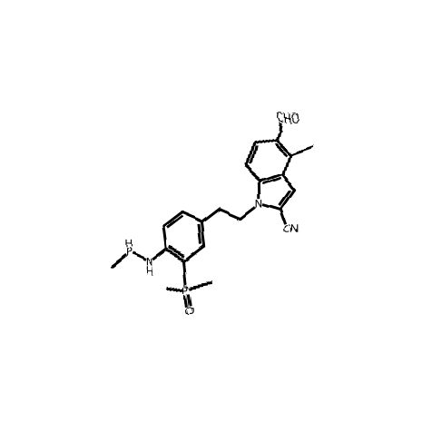 CPNc1ccc(CCn2c(C#N)cc3c(C)c(C=O)ccc32)cc1P(C)(C)=O